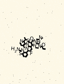 C=CC(=O)N1CCN(c2c(C(=O)NCCN(C)C)c(=O)n(-c3c(C)ccnc3C(C)C)c3nc(-c4cccc5sc(N)nc45)c(F)cc23)C[C@H]1C